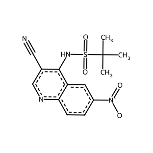 CC(C)(C)S(=O)(=O)Nc1c(C#N)cnc2ccc([N+](=O)[O-])cc12